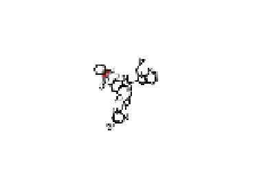 COc1cc(C(=O)N2CC3CCC2[C@@H]3N)cc2nc(-c3cc4cccnc4n3CC3CC3)n(CC3CN(c4ncc(Br)cn4)C3)c12